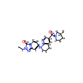 CCn1nc2cc(N3CCCc4cc(C(=O)N5CCC[C@H](C)C5)cnc43)ccn2c1=O